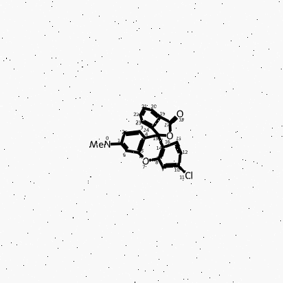 CNc1ccc2c(c1)Oc1cc(Cl)ccc1C21OC(=O)c2ccccc21